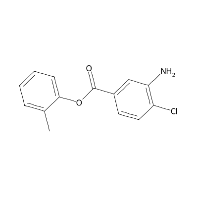 Cc1ccccc1OC(=O)c1ccc(Cl)c(N)c1